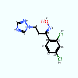 O/N=C(\CCn1cncn1)c1ccc(Cl)cc1Cl